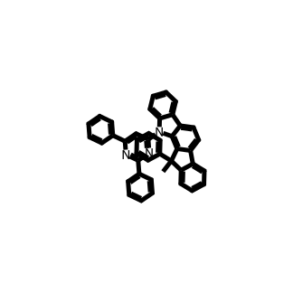 CC1(c2ccccc2)c2ccccc2-c2ccc3c4ccccc4n(-c4cc(-c5ccccc5)nc(-c5ccccc5)n4)c3c21